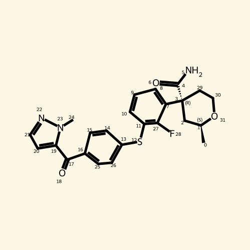 C[C@H]1C[C@@](C(N)=O)(c2cccc(Sc3ccc(C(=O)c4ccnn4C)cc3)c2F)CCO1